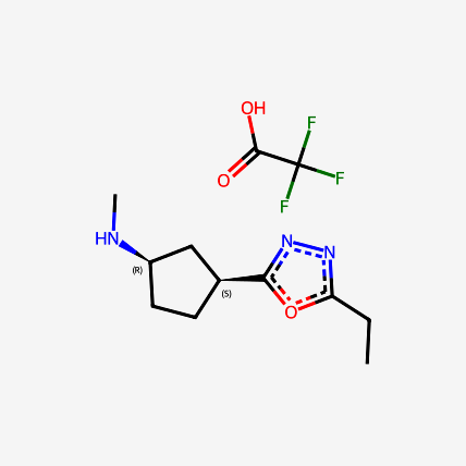 CCc1nnc([C@H]2CC[C@@H](NC)C2)o1.O=C(O)C(F)(F)F